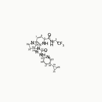 O=C(NCC(F)(F)F)C1C=CC2=C(N1)N(C(=O)Nc1ccc(C3CC3)cn1)[C@H]1CCN2C1